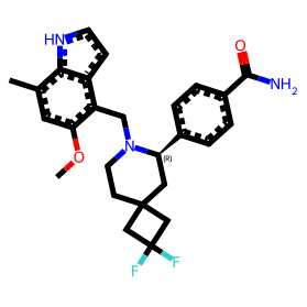 COc1cc(C)c2[nH]ccc2c1CN1CCC2(C[C@@H]1c1ccc(C(N)=O)cc1)CC(F)(F)C2